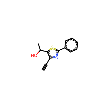 C#Cc1nc(-c2ccccc2)sc1C(C)O